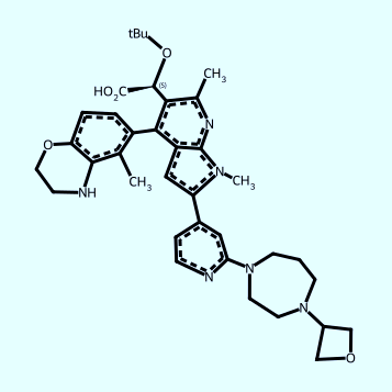 Cc1nc2c(cc(-c3ccnc(N4CCCN(C5COC5)CC4)c3)n2C)c(-c2ccc3c(c2C)NCCO3)c1[C@H](OC(C)(C)C)C(=O)O